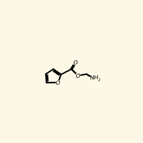 NCOC(=O)c1ccco1